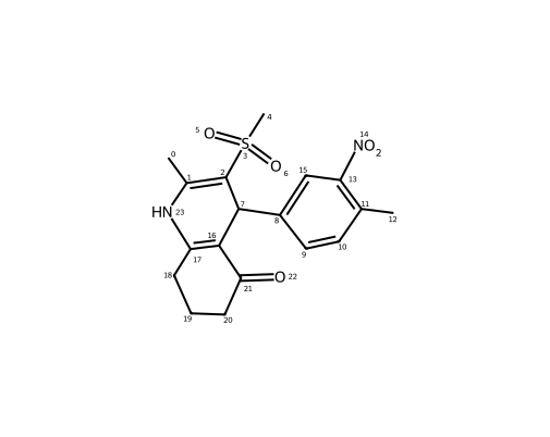 CC1=C(S(C)(=O)=O)C(c2ccc(C)c([N+](=O)[O-])c2)C2=C(CCCC2=O)N1